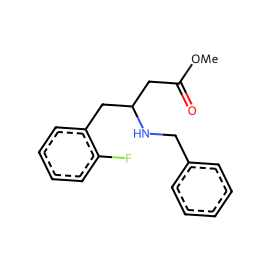 COC(=O)CC(Cc1ccccc1F)NCc1ccccc1